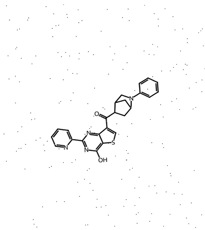 O=C(c1csc2c(O)nc(-c3ccccn3)nc12)C1CC2CC1CN2c1ccccc1